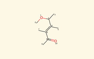 COC(C)C(C)=C(C)C(C)=O